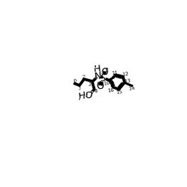 CCCC(CO)NS(=O)(=O)c1ccc(C)cc1